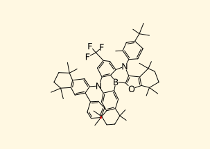 Cc1cc(C(C)(C)C)ccc1N1c2cc(C(F)(F)F)cc3c2B(c2cc4c(cc2N3c2cc3c(cc2-c2ccccc2)C(C)(C)CCC3(C)C)C(C)(C)CCC4(C)C)c2oc3c(c21)C(C)(C)CCC3(C)C